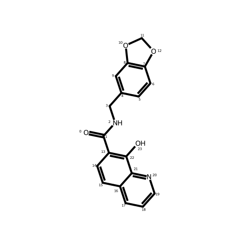 O=C(NCc1ccc2c(c1)OCO2)c1ccc2cccnc2c1O